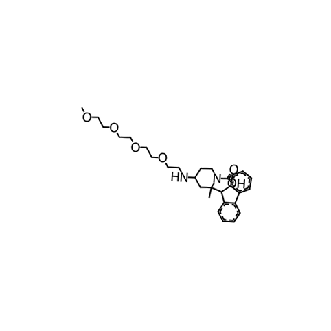 COCCOCCOCCOCCNC1CCN(C(=O)O)C(C)(C2c3ccccc3-c3ccccc32)C1